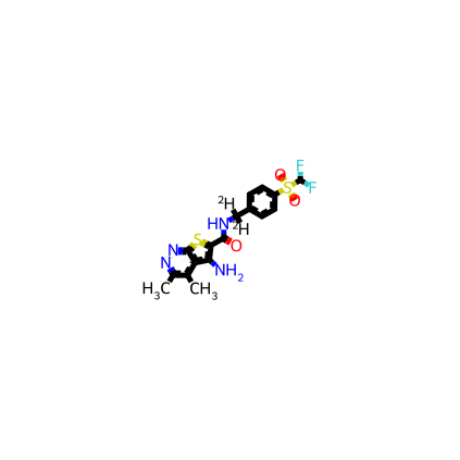 [2H]C([2H])(NC(=O)c1sc2nnc(C)c(C)c2c1N)c1ccc(S(=O)(=O)C(F)F)cc1